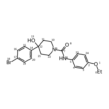 CCOc1ccc(NC(=O)N2CCC(O)(c3ccc(Br)cc3)CC2)cc1